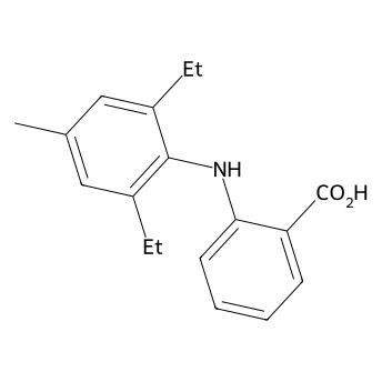 CCc1cc(C)cc(CC)c1Nc1ccccc1C(=O)O